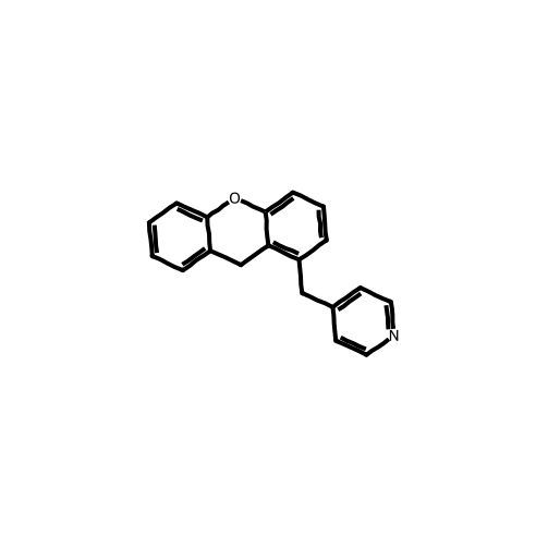 c1ccc2c(c1)Cc1c(Cc3ccncc3)cccc1O2